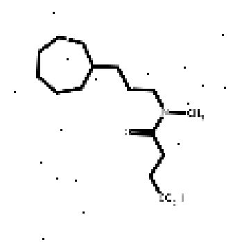 CN(CCCC1CCCCCC1)C(=O)CCC(=O)O